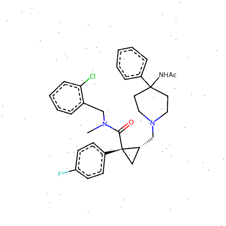 CC(=O)NC1(c2ccccc2)CCN(C[C@@H]2C[C@@]2(C(=O)N(C)Cc2ccccc2Cl)c2ccc(F)cc2)CC1